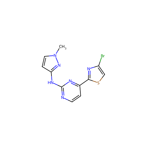 Cn1ccc(Nc2nccc(-c3nc(Br)cs3)n2)n1